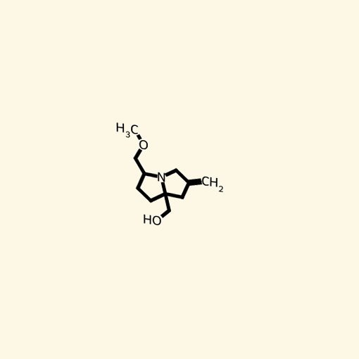 C=C1CN2C(COC)CCC2(CO)C1